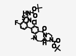 CN1CC[C@H]2CN(C(=O)OC(C)(C)C)CCN2C(=O)c2cc(Cl)c(-c3ccc(F)c4sc(NC(=O)OC(C)(C)C)nc34)cc21